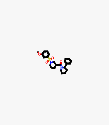 COc1cccc(S(=O)(=O)N2CCCC(C(=O)N3CCCCC3c3ccccc3)C2)c1